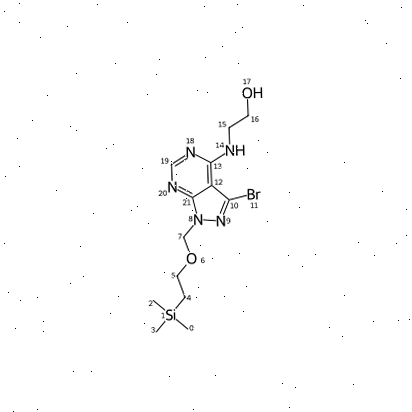 C[Si](C)(C)CCOCn1nc(Br)c2c(NCCO)ncnc21